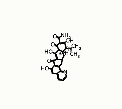 CN(C)[C@@H]1C(O)=C(C(N)=O)C(=O)C2C(O)=C3C(=O)c4c(O)cc5cccnc5c4CC3C[C@H]21